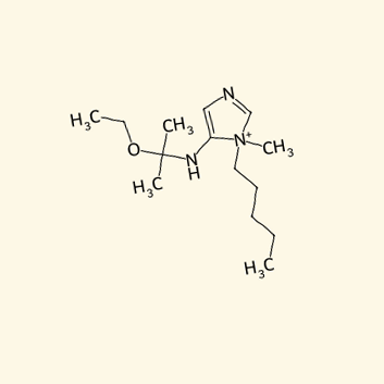 CCCCC[N+]1(C)C=NC=C1NC(C)(C)OCC